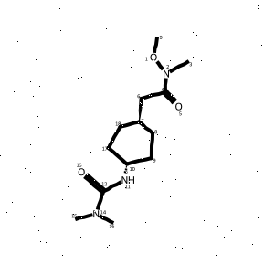 CON(C)C(=O)C[C@H]1CC[C@H](NC(=O)N(C)C)CC1